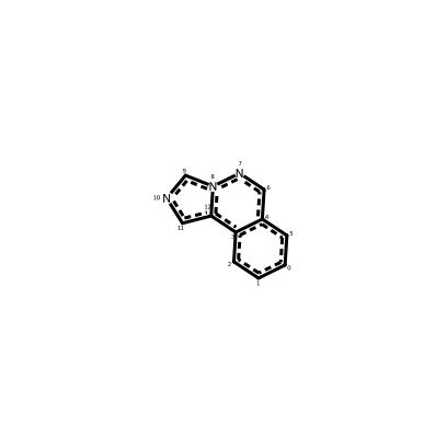 c1ccc2c(c1)cnn1cncc21